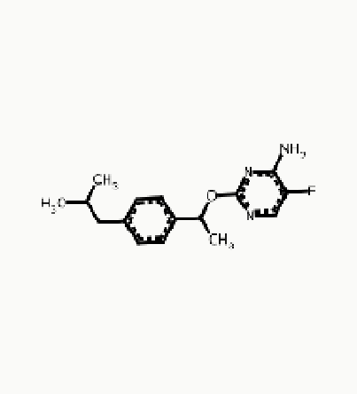 CC(C)Cc1ccc(C(C)Oc2ncc(F)c(N)n2)cc1